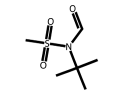 CC(C)(C)N(C=O)S(C)(=O)=O